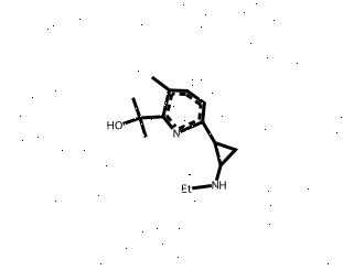 CCNC1CC1c1ccc(C)c(C(C)(C)O)n1